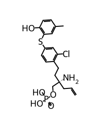 C=CC[C@](N)(CCc1ccc(Sc2cc(C)ccc2O)cc1Cl)COP(=O)(O)O